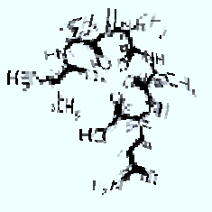 C[C@H](N)C(=O)N[C@@H](C)C(=O)N[C@@H](C)C(=O)N[C@@H](C)C(=O)N[C@@H](CCC(N)=O)C(=O)O